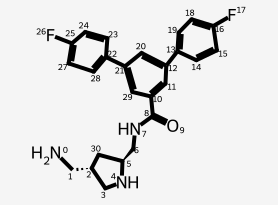 NC[C@H]1CN[C@H](CNC(=O)c2cc(-c3ccc(F)cc3)cc(-c3ccc(F)cc3)c2)C1